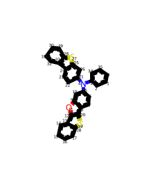 c1ccc(N(c2ccc3c(c2)oc2c4ccccc4sc32)c2ccc3c(c2)sc2ccccc23)cc1